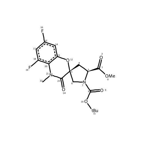 COC(=O)[C@@H]1C[C@]2(CN1C(=O)OC(C)(C)C)Oc1cc(F)cc(F)c1N(C)C2=O